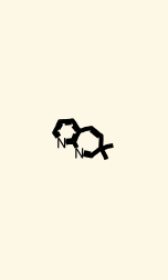 CC1(C)C=Cc2cccnc2N=C1